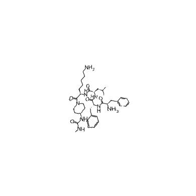 CNC(=O)NC1CCN(C(=O)[C@@H](CCCCCN)NC(=O)[C@@H](CC(C)C)NC(=O)[C@@H](Cc2ccccc2)NC(=O)[C@H](N)Cc2ccccc2)CC1